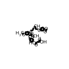 COc1ccc(OCCCN(C)CCOc2ccc3c(c2)OCO3)c([C@@H]2Sc3ccccc3N(C)C2=O)c1.O=C(O)/C=C/C(=O)O